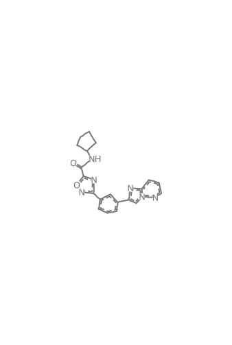 O=C(NC1CCCC1)c1nc(-c2cccc(-c3cn4ncccc4n3)c2)no1